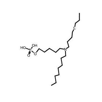 CCCCCCCCN(CCCCCCCC)CCCCCOP(=O)(O)O